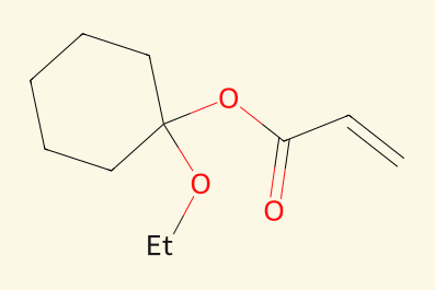 C=CC(=O)OC1(OCC)CCCCC1